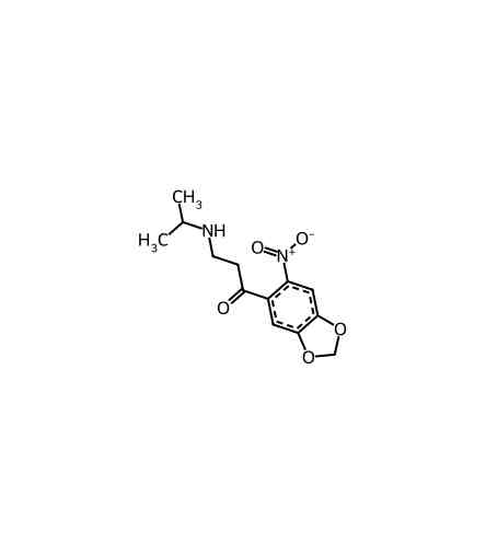 CC(C)NCCC(=O)c1cc2c(cc1[N+](=O)[O-])OCO2